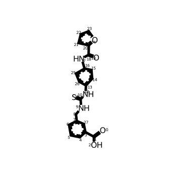 O=C(O)c1cccc(CNC(=S)Nc2ccc(NC(=O)c3ccco3)cc2)c1